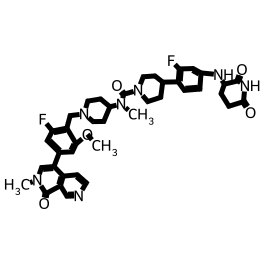 COc1cc(-c2cn(C)c(=O)c3cnccc23)cc(F)c1CN1CCC(N(C)C(=O)N2CCC(c3ccc(NC4CCC(=O)NC4=O)cc3F)CC2)CC1